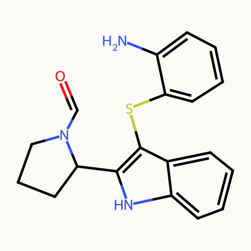 Nc1ccccc1Sc1c(C2CCCN2C=O)[nH]c2ccccc12